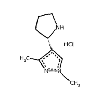 Cc1nn(C)cc1[C@@H]1CCCN1.Cl